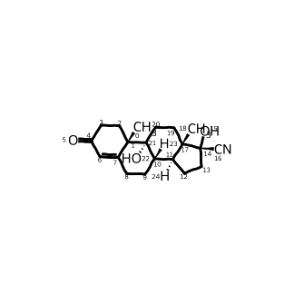 C[C@]12CCC(=O)C=C1CC[C@H]1[C@@H]3CC[C@](O)(C#N)[C@@]3(C)CC[C@@]12O